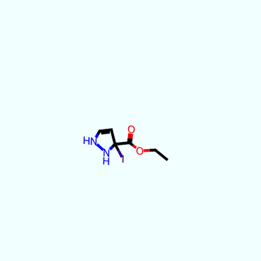 CCOC(=O)C1(I)C=CNN1